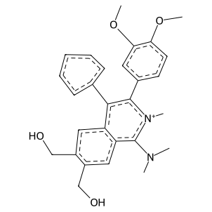 COc1ccc(-c2c(-c3ccccc3)c3cc(CO)c(CO)cc3c(N(C)C)[n+]2C)cc1OC